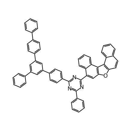 c1ccc(-c2ccc(-c3cc(-c4ccccc4)cc(-c4ccc(-c5nc(-c6ccccc6)nc(-c6cc7oc8ccc9ccccc9c8c7c7ccccc67)n5)cc4)c3)cc2)cc1